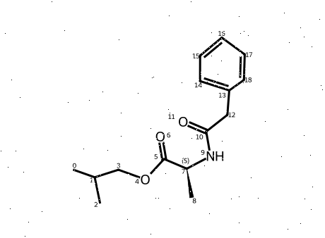 CC(C)COC(=O)[C@H](C)NC(=O)Cc1ccccc1